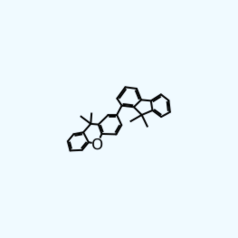 CC1(C)c2ccccc2Oc2ccc(-c3cccc4c3C(C)(C)c3ccccc3-4)cc21